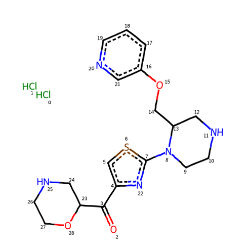 Cl.Cl.O=C(c1csc(N2CCNCC2COc2cccnc2)n1)C1CNCCO1